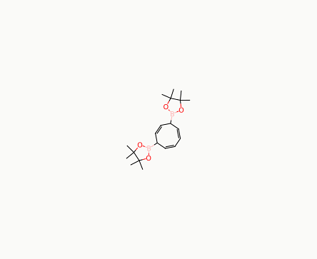 CC1(C)OB(C2C=CC=CC(B3OC(C)(C)C(C)(C)O3)C=C2)OC1(C)C